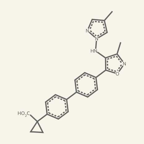 Cc1cnn(Nc2c(C)noc2-c2ccc(-c3ccc(C4(C(=O)O)CC4)cc3)cc2)c1